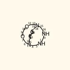 C1CNCCN2CCOCCOCCN(CCN1)CCSCCSCC2